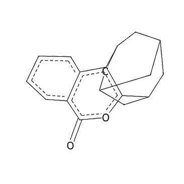 O=c1oc2c(c3ccccc13)C1CC3CC(CC2C3)C1